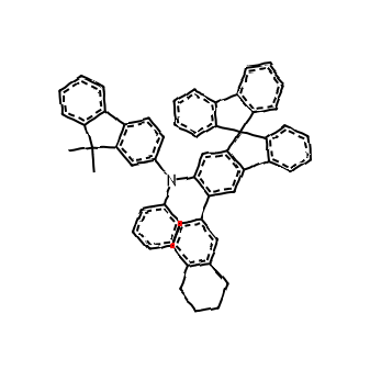 CC1(C)c2ccccc2-c2ccc(N(c3ccccc3)c3cc4c(cc3-c3ccc5c(c3)CCCC5)-c3ccccc3C43c4ccccc4-c4ccccc43)cc21